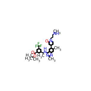 CNCCCn1ccc(-c2cc3c(N[C@H](C)c4cc(C(=O)OC(C)(C)C)cc(C(F)(F)F)c4)nc(C)nc3cc2C)cc1=O